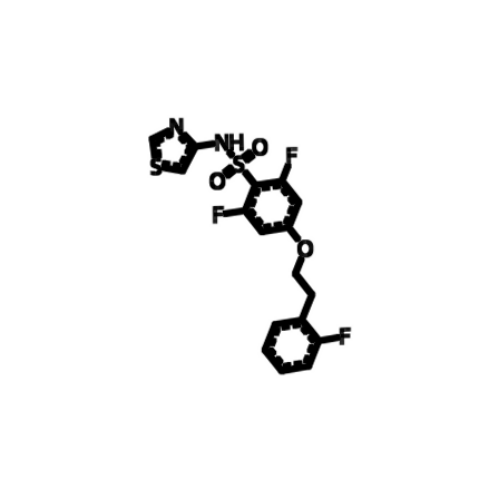 O=S(=O)(Nc1cscn1)c1c(F)cc(OCCc2ccccc2F)cc1F